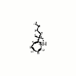 [CH2]CCCC(C)(C)C1=CC=CC=CN1